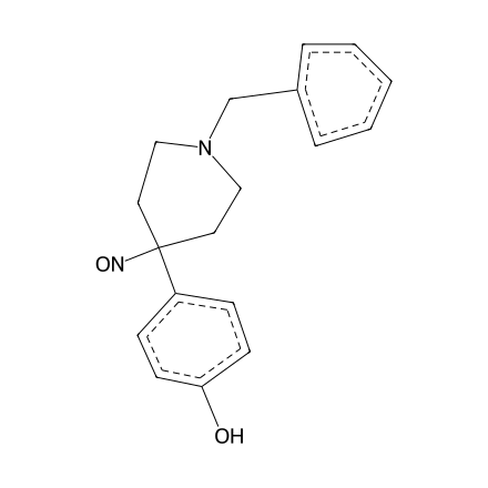 O=NC1(c2ccc(O)cc2)CCN(Cc2ccccc2)CC1